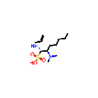 C=CC.CCCCCC(CS(=O)(=O)O)N(C)C.N